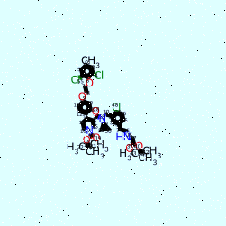 Cc1cc(Cl)c(OCCOc2ccc([C@H]3CCN(C(=O)OC(C)(C)C)C[C@@H]3C(=O)N(Cc3cc(CCNCC(=O)OC(C)(C)C)ccc3Cl)C3CC3)cc2)c(Cl)c1